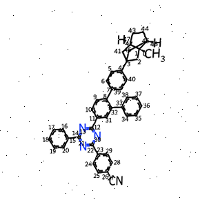 C[C@@]12CC3(c4ccc(-c5ccc(-c6nc(-c7ccccc7)nc(-c7ccc(C#N)cc7)n6)cc5-c5ccccc5)cc4)C[C@H]1CC[C@H]2C3